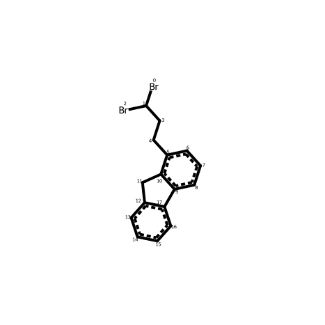 BrC(Br)CCc1cccc2c1[CH]c1ccccc1-2